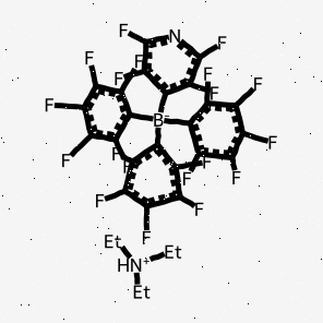 CC[NH+](CC)CC.Fc1nc(F)c(F)c([B-](c2c(F)c(F)c(F)c(F)c2F)(c2c(F)c(F)c(F)c(F)c2F)c2c(F)c(F)c(F)c(F)c2F)c1F